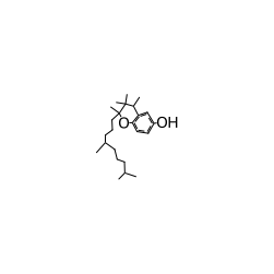 CC(C)CCCC(C)CCCC1(C)Oc2ccc(O)cc2C(C)C1(C)C